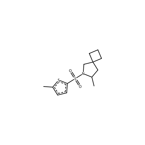 Cc1ccc(S(=O)(=O)N2CC3(CCC3)CC2C)s1